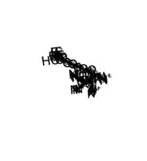 [N-]=[N+]=NCCCC[C@H](NC(=O)CCCN=[N+]=[N-])C(=O)N[C@@H](CCCCN=[N+]=[N-])C(=O)N[C@@H](CCCCN=[N+]=[N-])C(=O)NCCOCCOCCOCCOCCC(=O)Oc1c(O)c(F)c(F)c(F)c1F